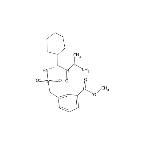 COC(=O)c1cccc(CS(=O)(=O)N[C@@H](C(=O)C(C)C)C2CCCCC2)c1